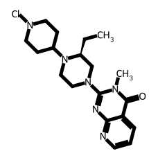 CC[C@H]1CN(c2nc3ncccc3c(=O)n2C)CCN1C1CCN(Cl)CC1